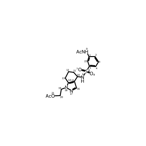 CC(=O)Nc1cccc(S(=O)(=O)NC2CCCc3c2cnn3CCOC(C)=O)c1